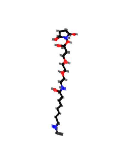 O=CNCCCCCCCC(=O)NCCOCCOCCC(=O)ON1C(=O)CCC1=O